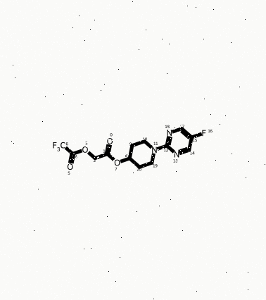 O=C(COC(=O)C(F)(F)F)OC1CCN(c2ncc(F)cn2)CC1